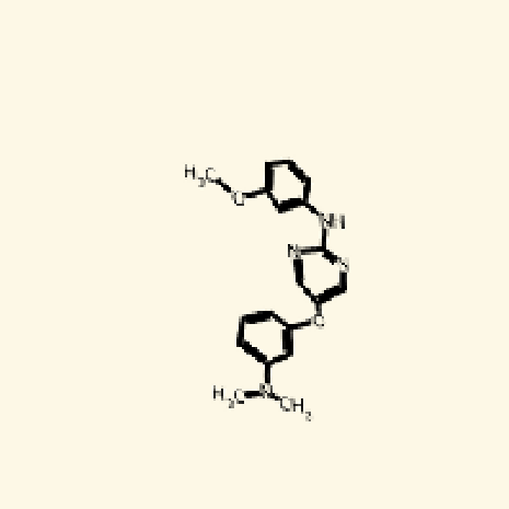 COc1cccc(Nc2ncc(Oc3cccc(N(C)C)c3)cn2)c1